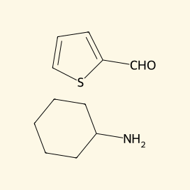 NC1CCCCC1.O=Cc1cccs1